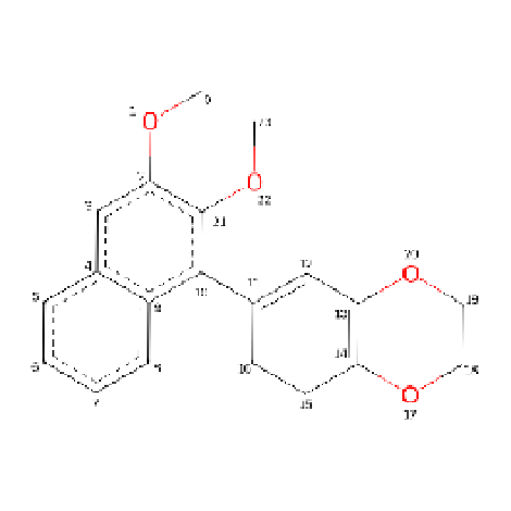 COc1cc2ccccc2c(C2=CC3=C(CC2)OCCO3)c1OC